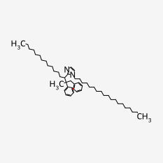 CCCCCCCCCCCCCCCCCCCn1ccnc1C(CCCCCCCCCCCCC)C(C)(Cc1ccccc1)c1ccccc1